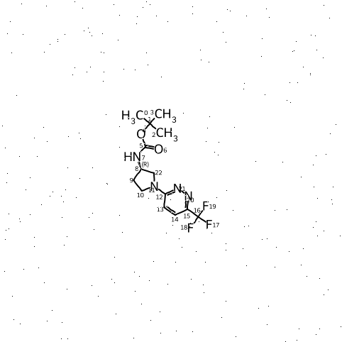 CC(C)(C)OC(=O)N[C@@H]1CCN(c2ccc(C(F)(F)F)nn2)C1